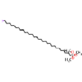 CO[Si](CCCCCCCCCCCCCCCCCCCCCCCCCCCCCCI)(OC)OC